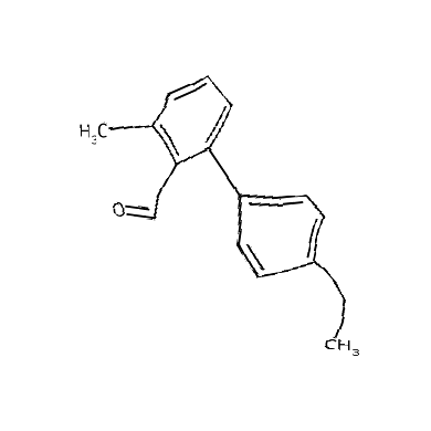 CCc1ccc(-c2cccc(C)c2C=O)cc1